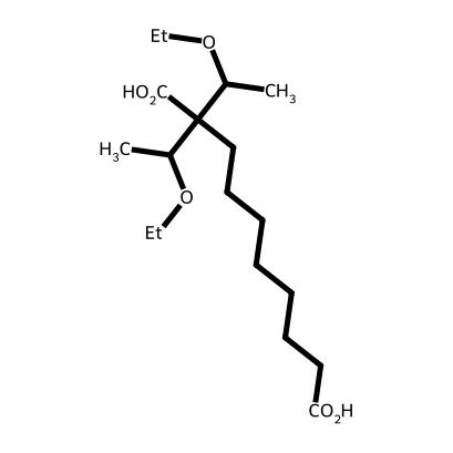 CCOC(C)C(CCCCCCCC(=O)O)(C(=O)O)C(C)OCC